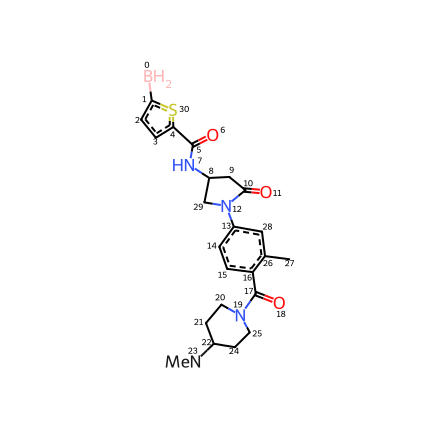 Bc1ccc(C(=O)NC2CC(=O)N(c3ccc(C(=O)N4CCC(NC)CC4)c(C)c3)C2)s1